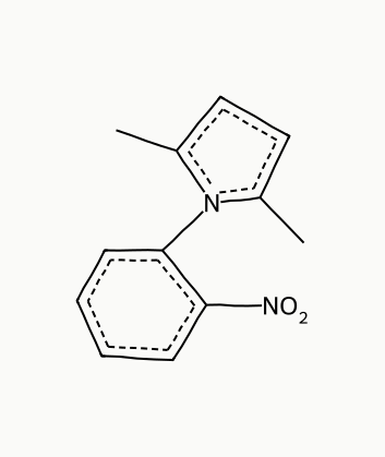 Cc1ccc(C)n1-c1ccccc1[N+](=O)[O-]